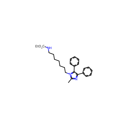 CCOC(=O)NCCCCCCCn1c(C)nc(-c2ccccc2)c1-c1ccccc1